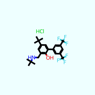 CC(C)(C)NCc1cc(C(C)(C)C)cc(-c2cc(C(F)(F)F)cc(C(F)(F)F)c2)c1O.Cl